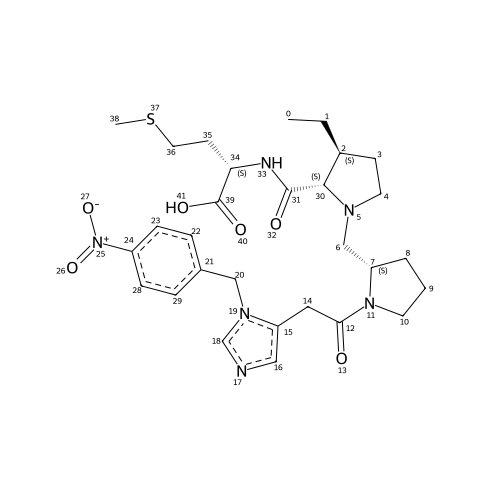 CC[C@H]1CCN(C[C@@H]2CCCN2C(=O)Cc2cncn2Cc2ccc([N+](=O)[O-])cc2)[C@@H]1C(=O)N[C@@H](CCSC)C(=O)O